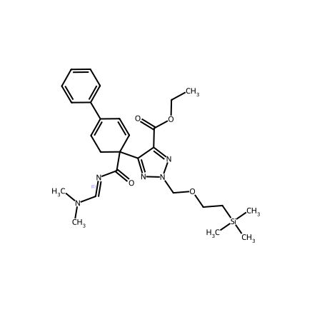 CCOC(=O)c1nn(COCC[Si](C)(C)C)nc1C1(C(=O)/N=C/N(C)C)C=CC(c2ccccc2)=CC1